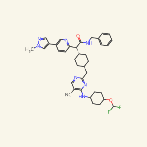 Cn1cc(-c2ccc(C(C(=O)NCc3ccccc3)[C@H]3CC[C@H](Cc4ncc(C#N)c(NC5CCC(OC(F)F)CC5)n4)CC3)nc2)cn1